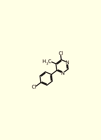 Cc1c(Cl)ncnc1-c1ccc(Cl)cc1